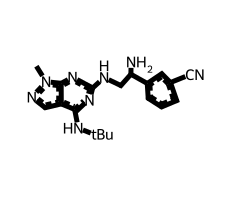 Cn1ncc2c(NC(C)(C)C)nc(NCC(N)c3cccc(C#N)c3)nc21